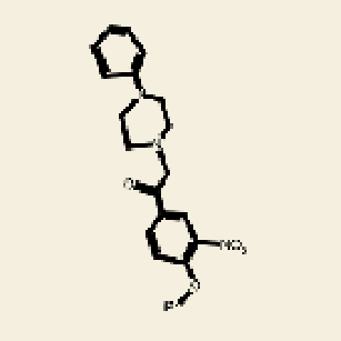 CC(C)Oc1ccc(C(=O)CN2CCN(c3ccccc3)CC2)cc1[N+](=O)[O-]